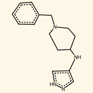 c1ccc(CN2CCC(Nc3cn[nH]c3)CC2)cc1